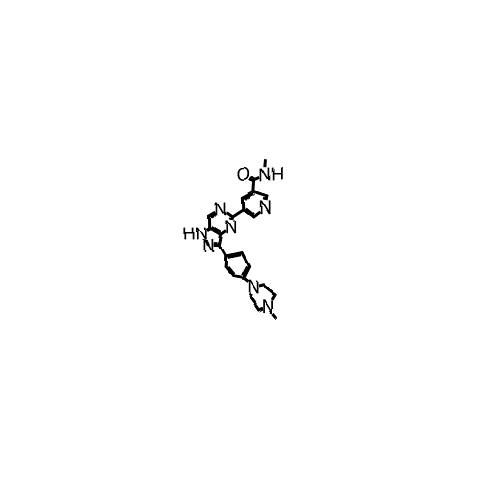 CNC(=O)c1cncc(-c2ncc3[nH]nc(-c4ccc(N5CCN(C)CC5)cc4)c3n2)c1